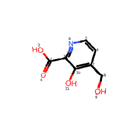 O=C(O)c1nccc(CO)c1O